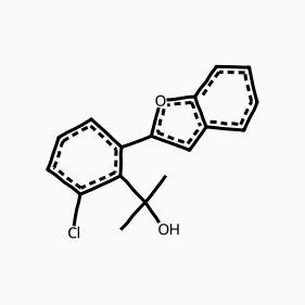 CC(C)(O)c1c(Cl)cccc1-c1cc2ccccc2o1